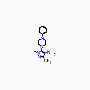 Cn1nc(C(F)(F)F)c(N)c1N1CCN(c2ccccc2)CC1